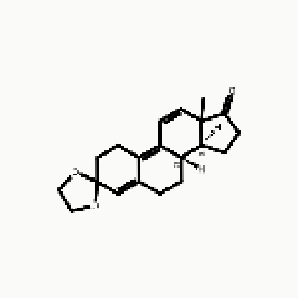 CC12C=CC3=C4CCC5(C=C4CC[C@H]3[C@@H]1CCC2=O)OCCO5